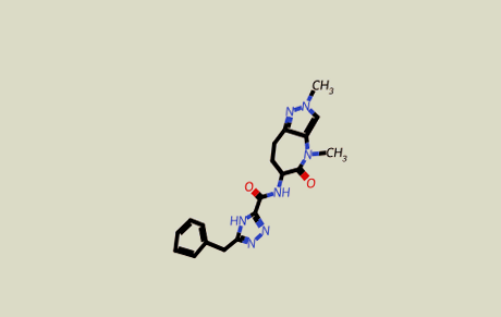 CN1C(=O)C(NC(=O)c2nnc(Cc3ccccc3)[nH]2)CCc2nn(C)cc21